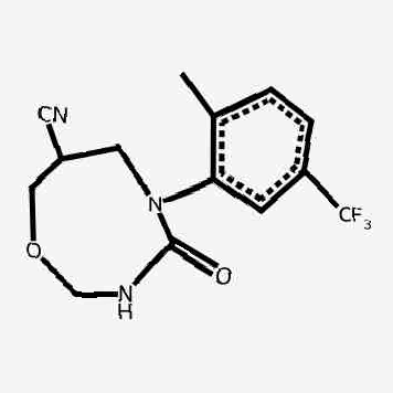 Cc1ccc(C(F)(F)F)cc1N1CC(C#N)COCNC1=O